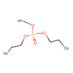 CCCOP(=O)(OCCC#N)OCCC#N